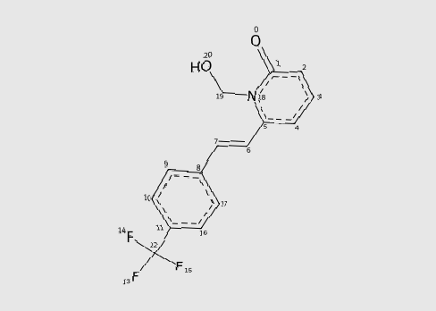 O=c1cccc(C=Cc2ccc(C(F)(F)F)cc2)n1CO